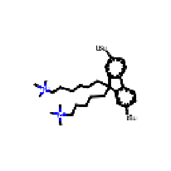 CC(C)(C)c1ccc2c(c1)C(CCCCCC[N+](C)(C)C)(CCCCC[N+](C)(C)C)c1cc(C(C)(C)C)ccc1-2